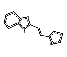 C(=C\c1nc2ccccc2[nH]1)/c1ccc[nH]1